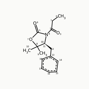 CCC(=O)N1C(=O)OC(C)(C)[C@@H]1Cc1ccccc1